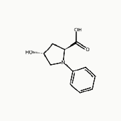 O=C(O)[C@@H]1C[C@@H](O)CN1c1ccccc1